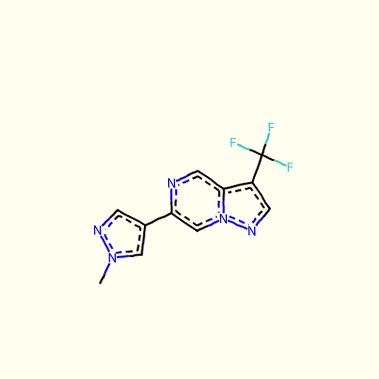 Cn1cc(-c2cn3ncc(C(F)(F)F)c3cn2)cn1